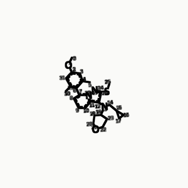 COc1cc(C)c(-c2cccc3c(N(CC4CC4)C4CCOCC4)c(SC)nn23)c(C)c1